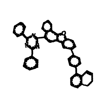 C1=Cc2c(cccc2-c2ccc(-c3ccc4oc5c6ccccc6c(-c6nc(-c7ccccc7)nc(-c7ccccc7)n6)cc5c4c3)cc2)CC1